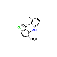 Cc1cccc(Nc2cc(Cl)ccc2C(=O)O)c1C(=O)O